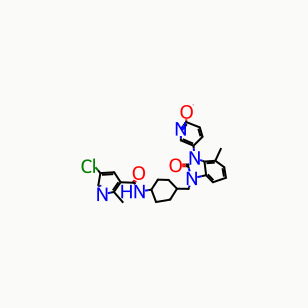 COc1ccc(-n2c(=O)n(CC3CCC(NC(=O)c4cc(Cl)cnc4C)CC3)c3cccc(C)c32)cn1